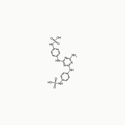 Nc1nc(Nc2ccc(NS(=O)(=O)O)cc2)nc(Nc2ccc(NS(=O)(=O)O)cc2)n1